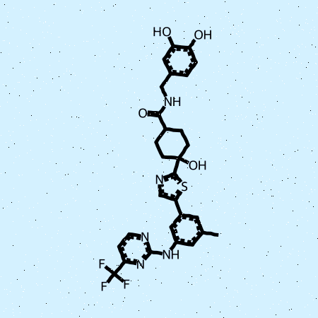 Cc1cc(Nc2nccc(C(F)(F)F)n2)cc(-c2cnc(C3(O)CCC(C(=O)NCc4ccc(O)c(O)c4)CC3)s2)c1